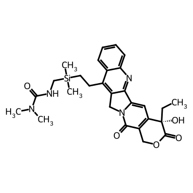 CC[C@@]1(O)C(=O)OCc2c1cc1n(c2=O)Cc2c-1nc1ccccc1c2CC[Si](C)(C)CNC(=O)N(C)C